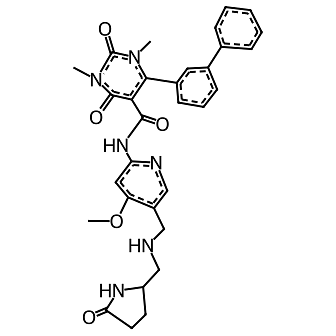 COc1cc(NC(=O)c2c(-c3cccc(-c4ccccc4)c3)n(C)c(=O)n(C)c2=O)ncc1CNCC1CCC(=O)N1